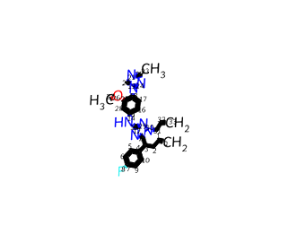 C=CCC(c1ccc(F)cc1)c1nc(Nc2ccc(-n3cnc(C)n3)c(OC)c2)nn1CC=C